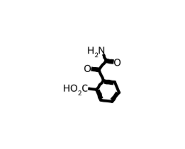 NC(=O)C(=O)c1ccccc1C(=O)O